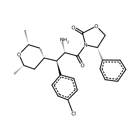 C[C@@H]1C[C@H]([C@H](c2ccc(Cl)cc2)[C@H](N)C(=O)N2C(=O)OC[C@@H]2c2ccccc2)C[C@H](C)O1